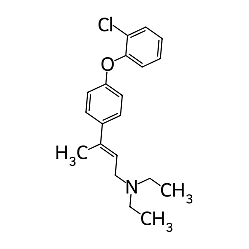 CCN(CC)CC=C(C)c1ccc(Oc2ccccc2Cl)cc1